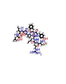 CCCC[C@H](NC(=O)[C@H](CCCNC(=N)N)NC(=O)[C@@H](N)CS)C(=O)N[C@@H](Cc1ccc(O)cc1)C(=O)N[C@@H](Cc1ccccc1)C(=O)N1CCC[C@H]1C(=O)N[C@@H](C)C(=O)N[C@H](C(=O)N[C@@H](CC(C)C)C(=O)O)[C@@H](C)CC